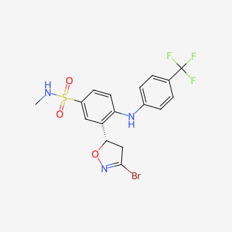 CNS(=O)(=O)c1ccc(Nc2ccc(C(F)(F)F)cc2)c([C@@H]2CC(Br)=NO2)c1